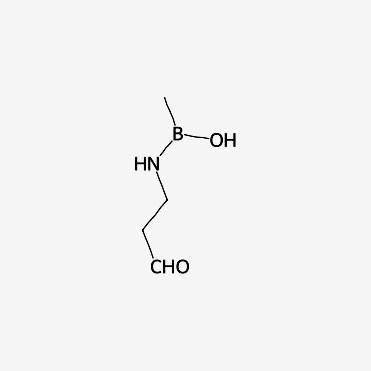 CB(O)NCCC=O